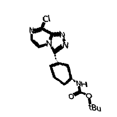 CC(C)(C)OC(=O)N[C@@H]1CCC[C@H](c2nnc3c(Cl)nccn23)C1